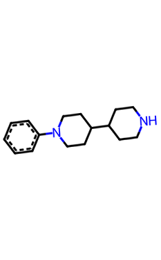 c1ccc(N2CCC(C3CCNCC3)CC2)cc1